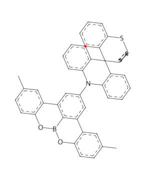 Cc1ccc2c(c1)-c1cc(N3c4ccccc4C4(c5ccccc5Sc5ccccc54)c4ccccc43)cc3c1B(O2)Oc1ccc(C)cc1-3